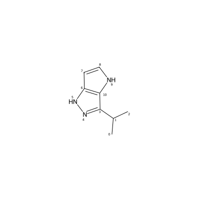 CC(C)c1n[nH]c2cc[nH]c12